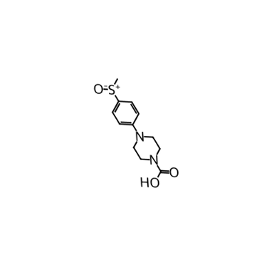 C[S+]([O-])c1ccc(N2CCN(C(=O)O)CC2)cc1